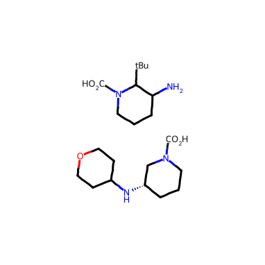 CC(C)(C)C1C(N)CCCN1C(=O)O.O=C(O)N1CCC[C@H](NC2CCOCC2)C1